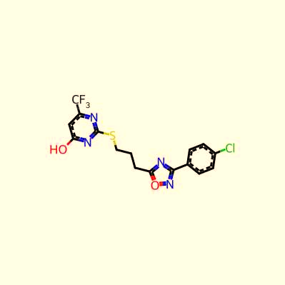 Oc1cc(C(F)(F)F)nc(SCCCc2nc(-c3ccc(Cl)cc3)no2)n1